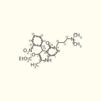 CCOC(=O)OC1=C(C)Nc2ccn(CCCN(C)C)c(=O)c2C1c1ccccc1[N+](=O)[O-]